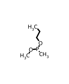 CCCOP(C)OC